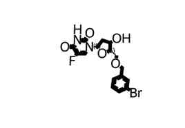 O=c1[nH]c(=O)n([C@@H]2CC(O)[C@H](COCc3cccc(Br)c3)O2)cc1F